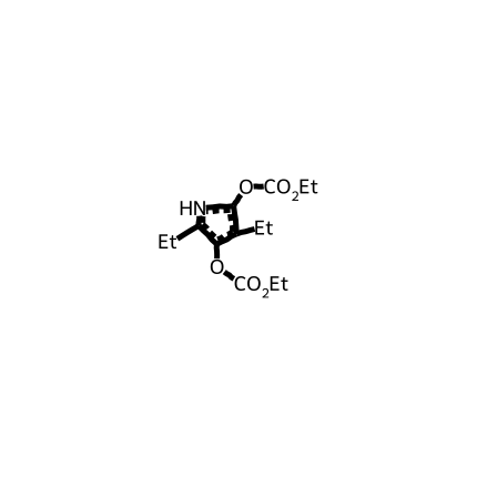 CCOC(=O)Oc1[nH]c(CC)c(OC(=O)OCC)c1CC